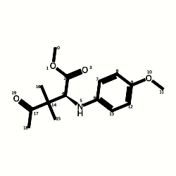 COC(=O)[C@@H](Nc1ccc(OC)cc1)C(C)(C)C(C)=O